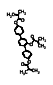 C=C(C)C(=O)Oc1ccc(-c2ccc(-c3ccc(OC(=O)C(=C)C)cc3)c(OC(=O)C(=C)C)c2)cc1